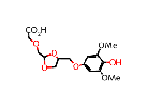 COc1cc(OCC2COC(COCC(=O)O)O2)cc(OC)c1O